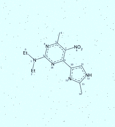 CCN(CC)c1nc(C)c([N+](=O)[O-])c(-c2c[nH]c(C)n2)n1